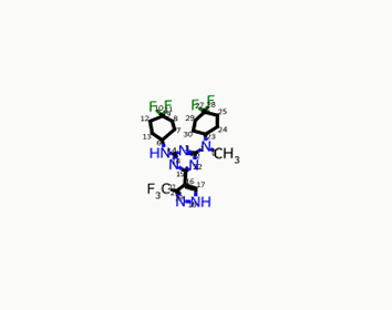 CN(c1nc(NC2CCC(F)(F)CC2)nc(-c2c[nH]nc2C(F)(F)F)n1)C1CCC(F)(F)CC1